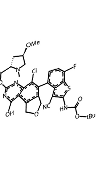 CO[C@@H]1C[C@@H]([C@H](C)Oc2nc(O)c3c4c(c(-c5ccc(F)c6sc(NC(=O)OC(C)(C)C)c(C#N)c56)c(Cl)c3n2)COC4)N(C)C1